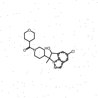 CC1(C2CCN(C(=O)C3CCOCC3)CC2)C(O)c2cc(Cl)cc3cnn1c23